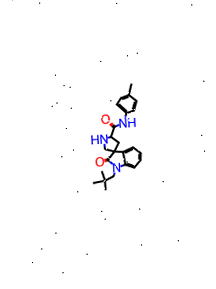 Cc1ccc(NC(=O)C2CC3(CN2)C(=O)N(CC(C)(C)C)c2ccccc23)cc1